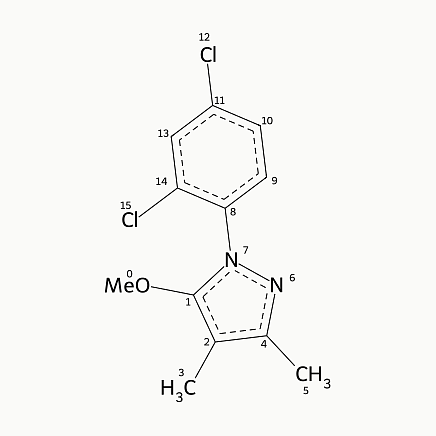 COc1c(C)c(C)nn1-c1ccc(Cl)cc1Cl